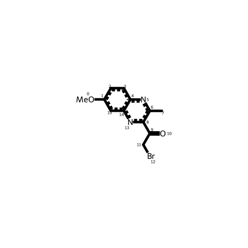 COc1ccc2nc(C)c(C(=O)CBr)nc2c1